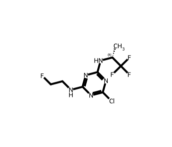 C[C@@H](Nc1nc(Cl)nc(NCCF)n1)C(F)(F)F